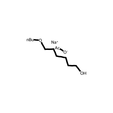 CC(=O)[O-].CCCCOCCCCCCO.[Na+]